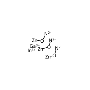 [Ga+3].[In+3].[N-2][O][Zn].[N-2][O][Zn].[N-2][O][Zn]